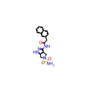 NS(=O)(=O)N1Cc2[nH]nc(NC(=O)Cc3ccc4ccccc4c3)c2C1